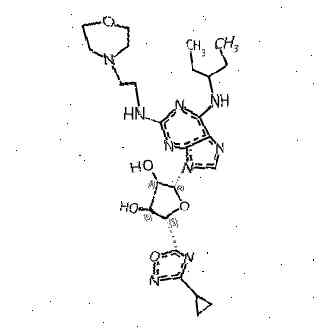 CCC(CC)Nc1nc(NCCN2CCOCC2)nc2c1ncn2[C@@H]1O[C@H](c2nc(C3CC3)no2)[C@@H](O)[C@H]1O